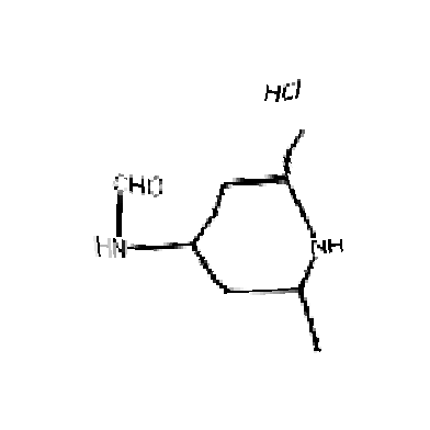 CC1CC(NC=O)CC(C)N1.Cl